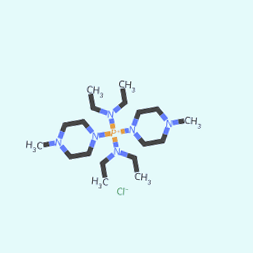 CCN(CC)[P+](N(CC)CC)(N1CCN(C)CC1)N1CCN(C)CC1.[Cl-]